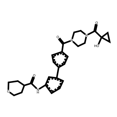 O=C(Nc1cccc(-c2ccc(C(=O)N3CCN(C(=O)C4(O)CC4)CC3)cc2)c1)C1CCOCC1